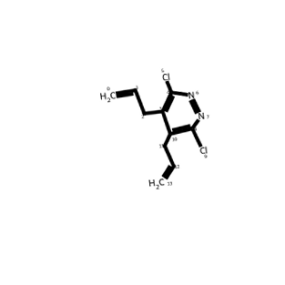 C=CCc1c(Cl)nnc(Cl)c1CC=C